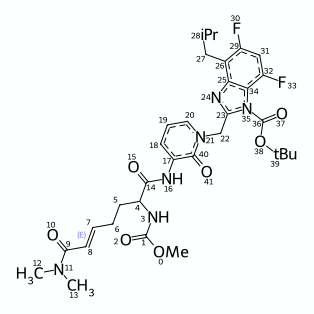 COC(=O)NC(CC/C=C/C(=O)N(C)C)C(=O)Nc1cccn(Cc2nc3c(CC(C)C)c(F)cc(F)c3n2C(=O)OC(C)(C)C)c1=O